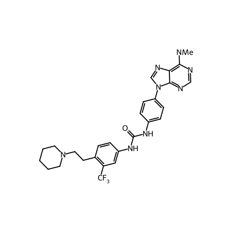 CNc1ncnc2c1ncn2-c1ccc(NC(=O)Nc2ccc(CCN3CCCCC3)c(C(F)(F)F)c2)cc1